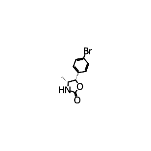 C[C@H]1NC(=O)O[C@H]1c1ccc(Br)cc1